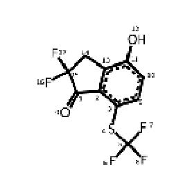 O=C1c2c(SC(F)(F)F)ccc(O)c2CC1(F)F